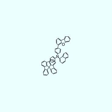 c1ccc2c(c1)-c1ccccc1C21c2ccccc2-c2cccc(-c3ccc(N(c4ccc(-c5cccc6c5oc5ccccc56)cc4)c4cccc5ccccc45)cc3)c21